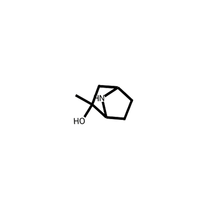 CC1(O)CC2CCC1N2